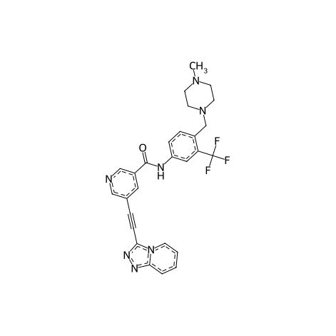 CN1CCN(Cc2ccc(NC(=O)c3cncc(C#Cc4nnc5ccccn45)c3)cc2C(F)(F)F)CC1